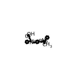 Cc1oc(-c2ccccc2)nc1COc1ccc(CO/N=C(\CCCC(=O)O)c2ccccc2)cc1